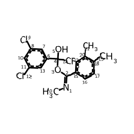 C/N=C(\OC(O)(c1cc(Cl)cc(Cl)c1)C(F)(F)F)c1ccc(C)c(C)c1